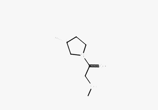 COCC(=O)N1CC[C@@H](C)C1